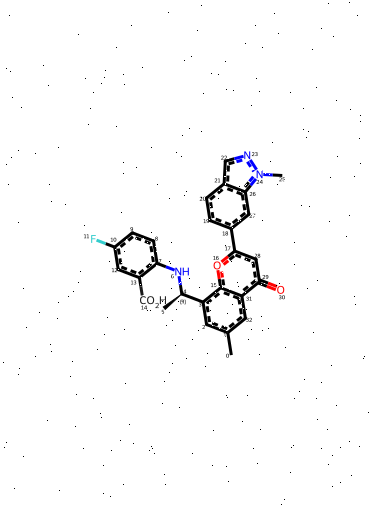 Cc1cc([C@@H](C)Nc2ccc(F)cc2C(=O)O)c2oc(-c3ccc4cnn(C)c4c3)cc(=O)c2c1